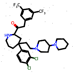 O=C(Cc1cc(C(F)(F)F)cc(C(F)(F)F)c1)C1CC(CCN2CCC(N3CCCCC3)CC2)(c2ccc(Cl)c(Cl)c2)CCCN1